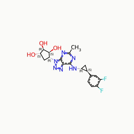 Cc1nc(N[C@@H]2C[C@H]2c2ccc(F)c(F)c2)c2nnn([C@@H]3C[C@H](O)[C@@H](O)[C@H]3O)c2n1